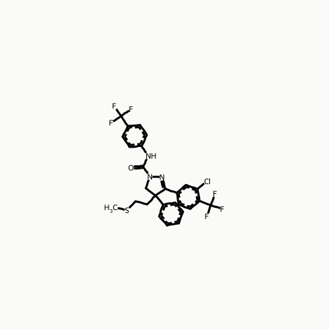 CSCCC1(c2ccccc2)CN(C(=O)Nc2ccc(C(F)(F)F)cc2)N=C1c1ccc(C(F)(F)F)c(Cl)c1